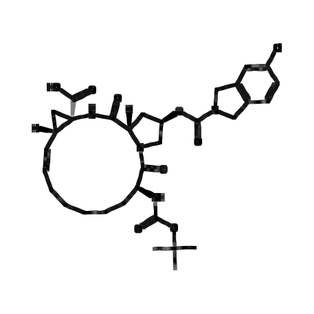 CC(C)(C)OC(=O)N[C@H]1CCCCC/C=C\[C@@H]2C[C@@]2(C(=O)O)NC(=O)[C@@H]2C[C@@H](OC(=O)N3Cc4ccc(Cl)cc4C3)CN2C1=O